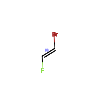 F/C=C/Br